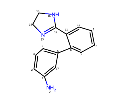 Nc1cccc(-c2ccccc2C2=NCCN2)c1